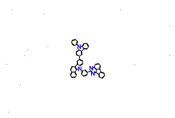 c1ccc(-n2c3ccccc3c3cc(-c4ccc5c(c4)c4ccc6ccccc6c4n5-c4cccc(-c5nc6c7c(cccc7n5)-c5ccccc5-6)c4)ccc32)cc1